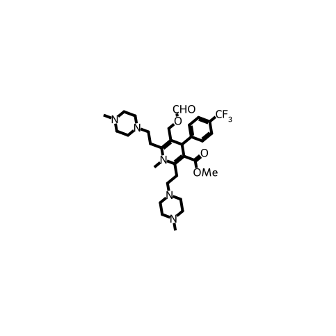 COC(=O)C1=C(CCN2CCN(C)CC2)N(C)C(CCN2CCN(C)CC2)=C(COC=O)C1c1ccc(C(F)(F)F)cc1